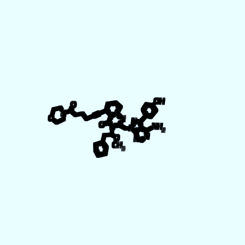 COC(Cc1ccccc1)n1c(Cn2nc(-c3ccc(O)cc3)c3c(N)ncnc32)nc2cccc(C#CCCCC(=O)N3CCOCC3)c2c1=O